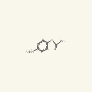 CCCCC(=O)Oc1ccc(NC(C)=O)cc1